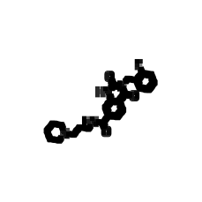 O=C(NCCCN1CCCCC1)c1ccc2c(=O)n(Cc3ccccc3F)c(=O)[nH]c2c1